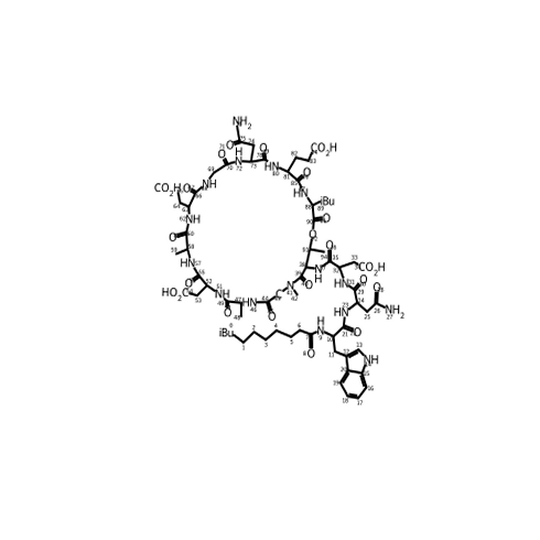 CCC(C)CCCCCCC(=O)NC(Cc1c[nH]c2ccccc12)C(=O)NC(CC(N)=O)C(=O)NC(CC(=O)O)C(=O)NC1C(=O)N(C)CC(=O)NC(C)C(=O)NC(CC(=O)O)C(=O)NC(C)C(=O)NC(CC(=O)O)C(=O)NCC(=O)NC(CC(N)=O)C(=O)NC(CCC(=O)O)C(=O)NC(C(C)CC)C(=O)OC1C